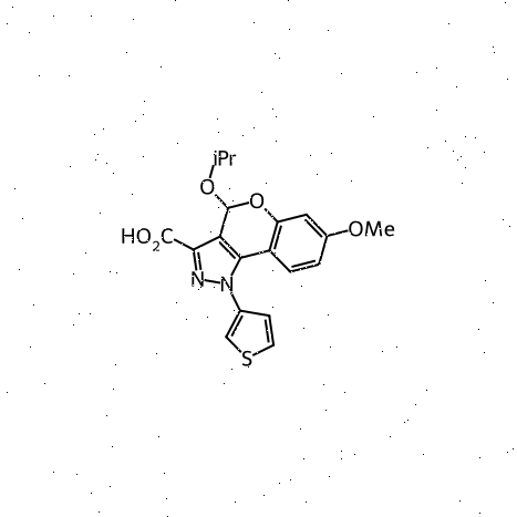 COc1ccc2c(c1)OC(OC(C)C)c1c(C(=O)O)nn(-c3ccsc3)c1-2